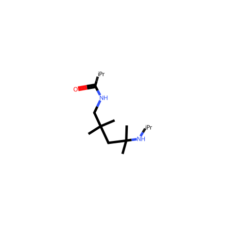 CC(C)NC(C)(C)CC(C)(C)CNC(=O)C(C)C